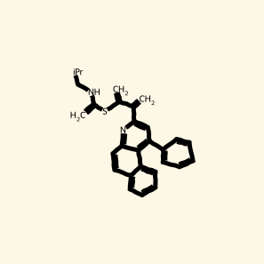 C=C(NCC(C)C)SC(=C)C(=C)c1cc(-c2ccccc2)c2c(ccc3ccccc32)n1